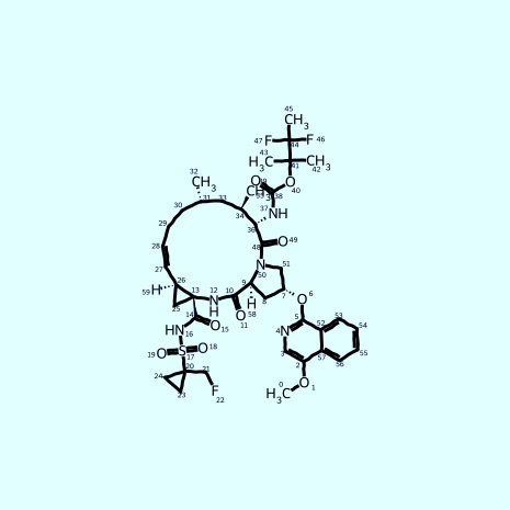 COc1cnc(O[C@@H]2C[C@H]3C(=O)N[C@]4(C(=O)NS(=O)(=O)C5(CF)CC5)C[C@H]4/C=C\CC[C@H](C)C[C@@H](C)[C@H](NC(=O)OC(C)(C)C(C)(F)F)C(=O)N3C2)c2ccccc12